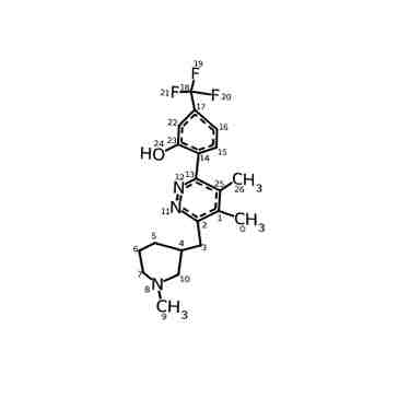 Cc1c(CC2CCCN(C)C2)nnc(-c2ccc(C(F)(F)F)cc2O)c1C